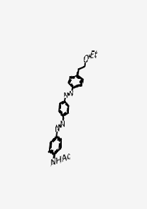 CCOCCc1ccc(N=Nc2ccc(N=Nc3ccc(NC(C)=O)cc3)cc2)cc1